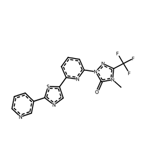 Cn1c(C(F)(F)F)nn(-c2cccc(-c3cnc(-c4cccnc4)s3)n2)c1=O